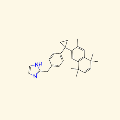 Cc1cc2c(cc1C1(c3ccc(Cc4ncc[nH]4)cc3)CC1)C(C)(C)C=CC2(C)C